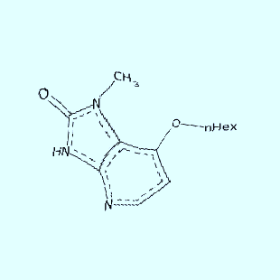 CCCCCCOc1ccnc2[nH]c(=O)n(C)c12